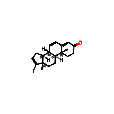 C[C@]12CCC(=O)C=C1C=C[C@@H]1[C@@H]2CC[C@]2(C)C(I)=CC[C@@H]12